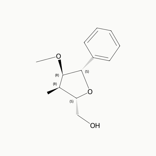 CO[C@@H]1[C@H](C)[C@@H](CO)O[C@H]1c1ccccc1